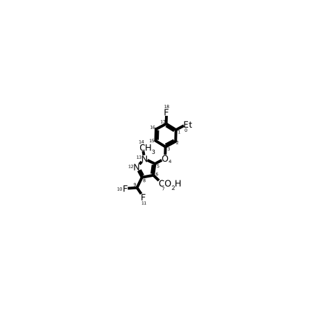 CCc1cc(Oc2c(C(=O)O)c(C(F)F)nn2C)ccc1F